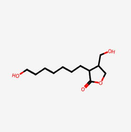 O=C1OCC(CO)C1CCCCCCCO